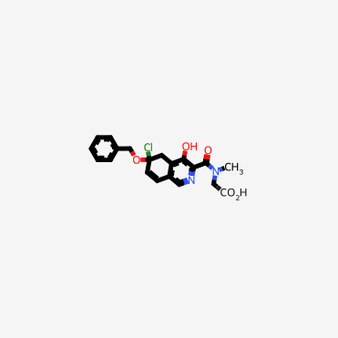 CN(CC(=O)O)C(=O)c1ncc2c(c1O)CC(Cl)(OCc1ccccc1)C=C2